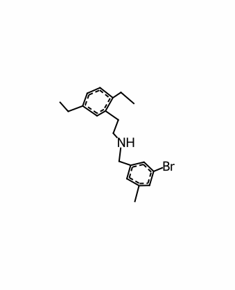 CCc1ccc(CC)c(CCNCc2cc(C)cc(Br)c2)c1